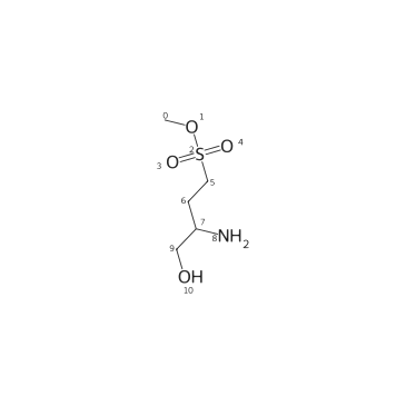 COS(=O)(=O)CCC(N)CO